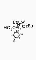 CCN(C(=O)OC(C)(C)C)C(Cc1ccc(C)cc1)C(=O)O